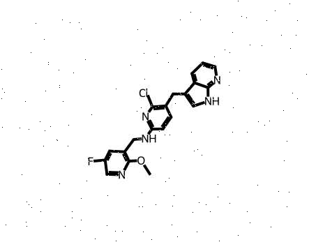 COc1ncc(F)cc1CNc1ccc(Cc2c[nH]c3ncccc23)c(Cl)n1